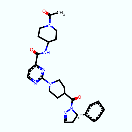 CC(=O)N1CCC(NC(=O)c2ccnc(N3CCC(C(=O)N4N=CC[C@H]4c4ccccc4)CC3)n2)CC1